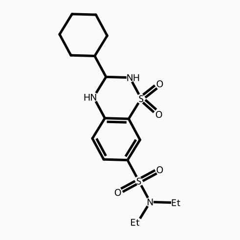 CCN(CC)S(=O)(=O)c1ccc2c(c1)S(=O)(=O)NC(C1CCCCC1)N2